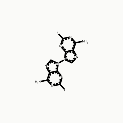 Nc1nc(F)nc2c1ncn2-n1cnc2c(N)nc(F)nc21